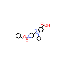 O=C(O)c1ccc2c(c1)nc(C1CCN(C(=O)OCc3ccccc3)CC1)n2C1CCCC1